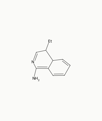 CCC1C=NC(N)=C2C=CC=CC21